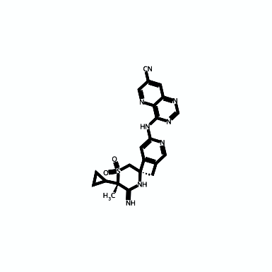 C[C@]1(C2CC2)C(=N)N[C@@]2(Cc3cnc(Nc4ncnc5cc(C#N)cnc45)cc32)CS1(=O)=O